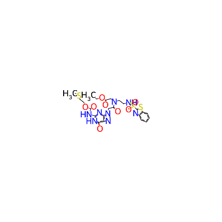 CCOC(=O)CN(CCNS(=O)(=O)c1nc2ccccc2s1)C(=O)Cn1cnc2c(=O)[nH]c(NC(=O)OCCSC)nc21